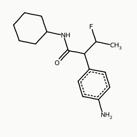 CC(F)C(C(=O)NC1CCCCC1)c1ccc(N)cc1